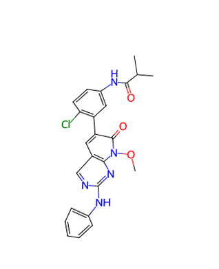 COn1c(=O)c(-c2cc(NC(=O)C(C)C)ccc2Cl)cc2cnc(Nc3ccccc3)nc21